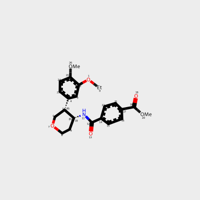 CCOc1cc([C@H]2COCC[C@H]2NC(=O)c2ccc(C(=O)OC)cc2)ccc1OC